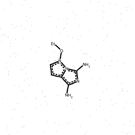 CCOn1ccc2c(N)nc(N)n21